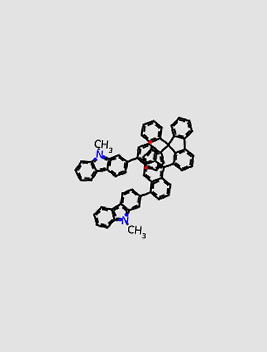 Cn1c2ccccc2c2ccc(-c3cccc4c(-c5cccc6c5C(c5ccccc5)(c5ccccc5)c5ccccc5-6)c5cccc(-c6ccc7c8ccccc8n(C)c7c6)c5cc34)cc21